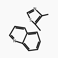 Cc1ncsc1C.c1ccc2ncccc2c1